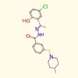 C/C(=N\NC(=O)c1cccc(SN2CCC(C)CC2)c1)c1cc(Cl)ccc1O